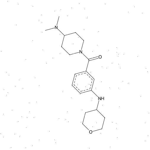 CN(C)C1CCN(C(=O)c2cc[c]c(NC3CCOCC3)c2)CC1